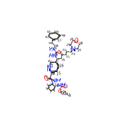 CC(C)(C)OC(=O)Nc1ccccc1NC(=O)c1ccc(C(CCCCCN2CCOCC2)NC(=O)NCCc2ccccc2)cn1